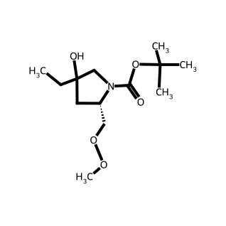 CCC1(O)C[C@@H](COOC)N(C(=O)OC(C)(C)C)C1